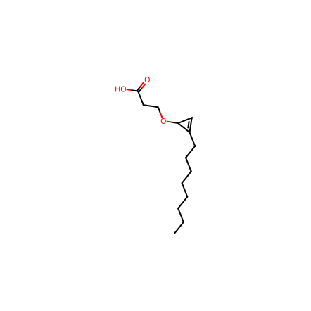 CCCCCCCCC1=CC1OCCC(=O)O